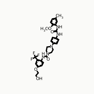 COc1ccc(C)cc1NC(=O)Nc1ccc(N2CCN(C(=O)Nc3ccc(OCCO)cc3C(F)(F)F)CC2)cc1